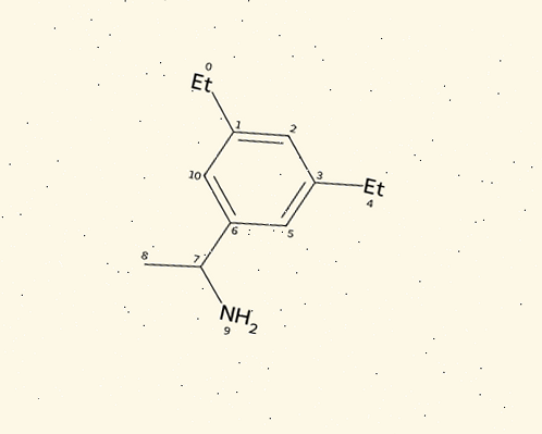 CCc1cc(CC)cc(C(C)N)c1